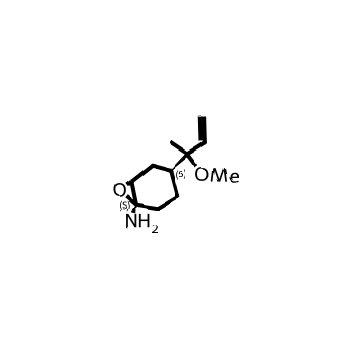 C=CC(C)(OC)[C@H]1CC[C@]2(N)OC2C1